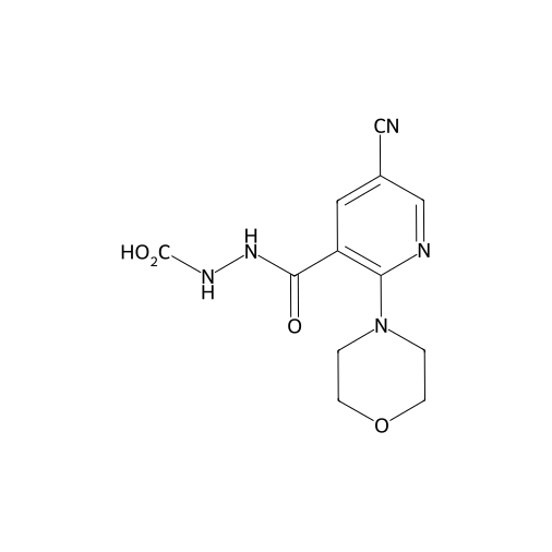 N#Cc1cnc(N2CCOCC2)c(C(=O)NNC(=O)O)c1